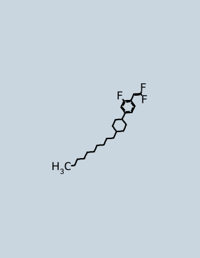 CCCCCCCCCCC1CCC(c2ccc(C=C(F)F)c(F)c2)CC1